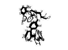 CCCCc1cn(-c2c(Br)cccc2OC)c(=O)n1Cc1ccc(-c2ccncc2-c2nnn[nH]2)cc1